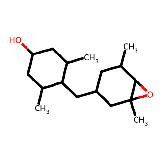 CC1CC(O)CC(C)C1CC1CC(C)C2OC2(C)C1